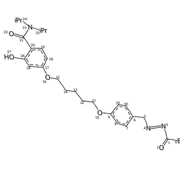 CCC(=O)N=NCc1ccc(OCCCCCOc2ccc(C(=O)N(C(C)C)C(C)C)c(O)c2)cc1